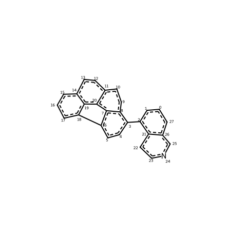 c1cc(-c2ccc3c4c2ccc2ccc5cccc-3c5c24)c2ccncc2c1